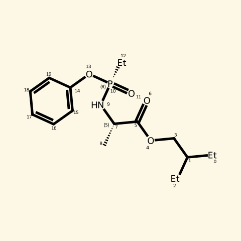 CCC(CC)COC(=O)[C@H](C)N[P@@](=O)(CC)Oc1ccccc1